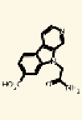 NC(=O)Cn1c2cnccc2c2ccc(C(=O)O)cc21